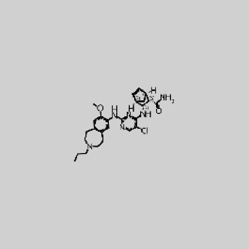 CCCN1CCc2cc(Nc3ncc(Cl)c(N[C@H]4[C@@H](C(N)=O)[C@@H]5C=C[C@H]4C5)n3)c(OC)cc2CC1